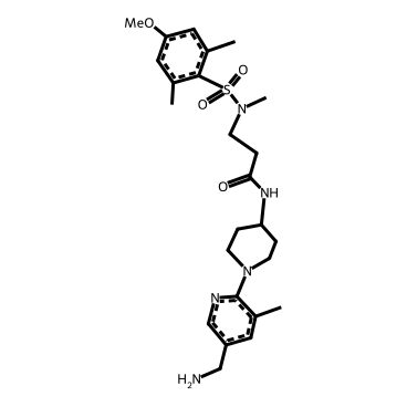 COc1cc(C)c(S(=O)(=O)N(C)CCC(=O)NC2CCN(c3ncc(CN)cc3C)CC2)c(C)c1